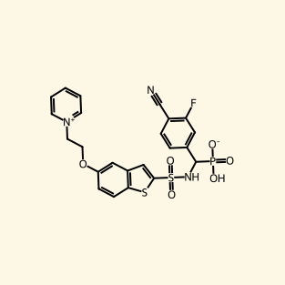 N#Cc1ccc(C(NS(=O)(=O)c2cc3cc(OCC[n+]4ccccc4)ccc3s2)P(=O)([O-])O)cc1F